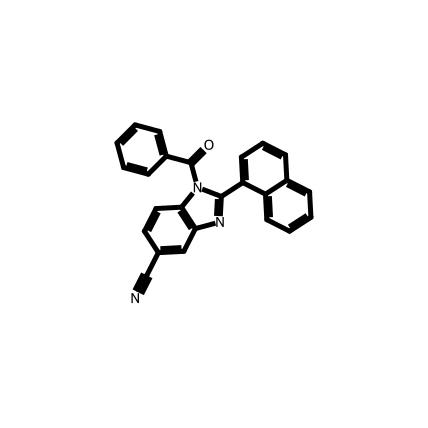 N#Cc1ccc2c(c1)nc(-c1cccc3ccccc13)n2C(=O)c1ccccc1